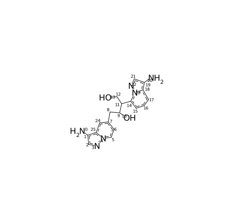 Nc1cnn2ccc(CC(O)C(CO)c3cccc4c(N)cnn34)cc12